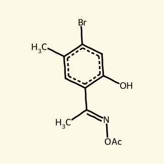 CC(=O)ON=C(C)c1cc(C)c(Br)cc1O